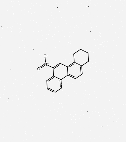 O=[N+]([O-])c1cc2c3c(ccc2c2ccccc12)CCCC3